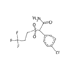 NC(=O)C(c1ccc(Cl)cc1)S(=O)(=O)CCC(F)(F)F